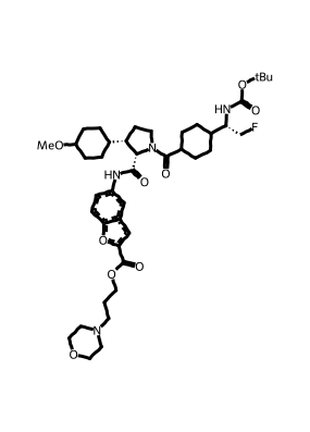 COC1CCC([C@@H]2CCN(C(=O)C3CCC([C@@H](CF)NC(=O)OC(C)(C)C)CC3)[C@@H]2C(=O)Nc2ccc3oc(C(=O)OCCCN4CCOCC4)cc3c2)CC1